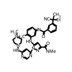 CCC(C)(C#N)c1cccc(C(=O)Nc2ccc(C)c(Nc3cc(C(=O)NC)nn3-c3cc(NN4CCN(C)CC4)ncn3)c2)c1